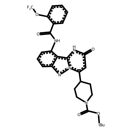 CC(C)(C)OC(=O)N1CCC(c2cc(=O)[nH]c3c4c(NC(=O)c5ccccc5OC(F)(F)F)cccc4nn23)CC1